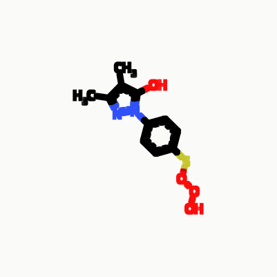 Cc1nn(-c2ccc(SOOO)cc2)c(O)c1C